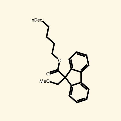 CCCCCCCCCCCCCCOC(=O)C1(COC)c2ccccc2-c2ccccc21